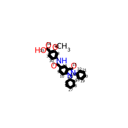 COc1cc(NC(=O)c2ccc3c(c2)c(=O)n(-c2ccccc2)n3C2CCCCC2)ccc1C(=O)O